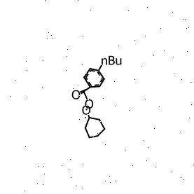 CCCCc1ccc(C(=O)OO[C]2CCCCC2)cc1